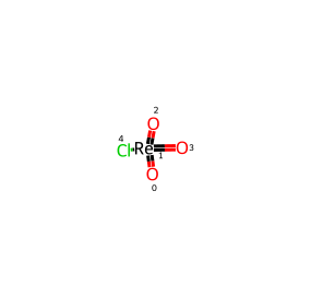 [O]=[Re](=[O])(=[O])[Cl]